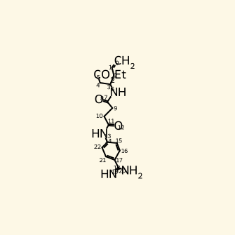 C=CCC(CC(=O)OCC)NC(=O)CCC(=O)Nc1ccc(C(=N)N)cc1